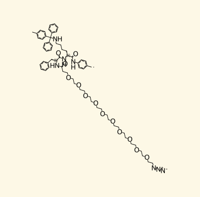 [CH2]c1ccc(NC(=O)[C@H](CCCCNC(c2ccccc2)(c2ccccc2)c2ccc(C)cc2)NC(=O)[C@H](Cc2ccccc2)NC(=O)CCOCCOCCOCCOCCOCCOCCOCCOCCOCCOCCN=[N+]=[N-])cc1